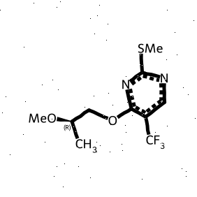 CO[C@H](C)COc1nc(SC)ncc1C(F)(F)F